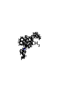 CN(c1nc(OC[C@@]23CCCN2C[C@H](F)C3)nc2c(F)c(-c3cccc4cccc(Cl)c34)ncc12)[C@@H]1CCN(C(=O)/C=C/c2nc([C@H]3C[C@@H]3F)no2)C1